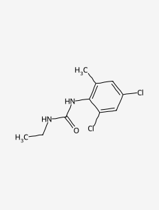 CCNC(=O)Nc1c(C)cc(Cl)cc1Cl